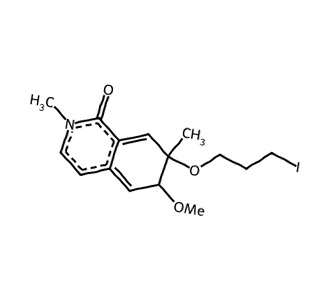 COC1C=c2ccn(C)c(=O)c2=CC1(C)OCCCI